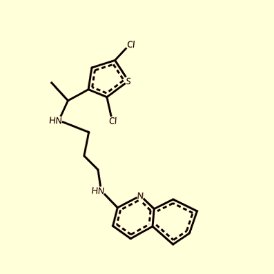 CC(NCCCNc1ccc2ccccc2n1)c1cc(Cl)sc1Cl